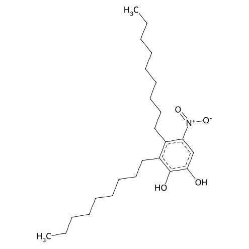 CCCCCCCCCc1c([N+](=O)[O-])cc(O)c(O)c1CCCCCCCCC